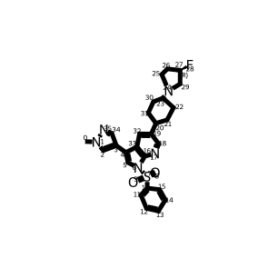 Cn1cc(-c2cn(S(=O)(=O)c3ccccc3)c3ncc(C4CCC(N5CC[C@@H](F)C5)CC4)cc23)cn1